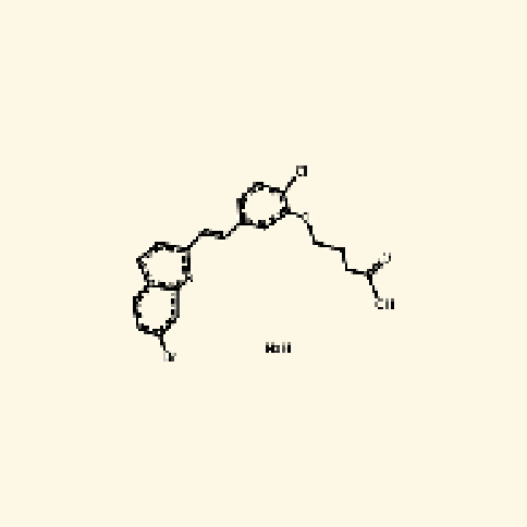 O=C(O)CCCOc1cc(C=Cc2ccc3ccc(Br)cc3n2)ccc1Cl.[NaH]